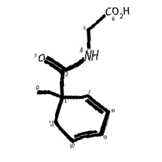 CC1(C(=O)NCC(=O)O)C=CC=CC1